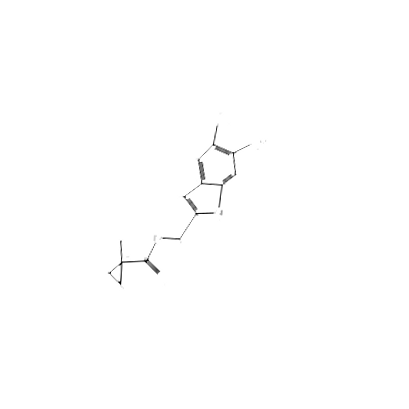 COc1cc2[nH]c(CNC(=O)C3(C)CC3)cc2cc1C(F)(F)F